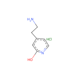 Cl.NCCc1ccnc(O)c1